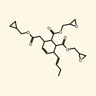 CCC=CC1C=CC(CC(=O)OCC2CC2)C(C(=O)OCC2CO2)C1C(=O)OCC1CO1